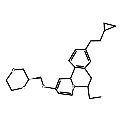 CCC1Cc2cc(CCC3CC3)ccc2C2C=C(OC[C@@H]3COCCO3)C=CN12